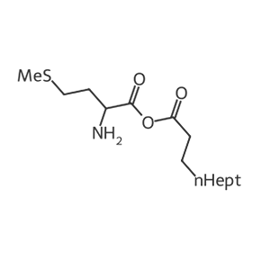 CCCCCCCCCC(=O)OC(=O)C(N)CCSC